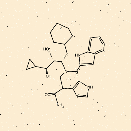 NC(=O)C(CN(C(=O)c1cc2ccccc2[nH]1)[C@@H](CC1CCCCC1)[C@@H](O)[C@@H](O)C1CC1)c1c[nH]cn1